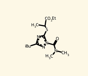 CCOC(=O)C(C)Sc1nc(C(C)CC)nn1C(=O)N(C)C